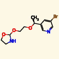 C[C@H](OCCOC1NCCO1)c1cncc(Br)c1